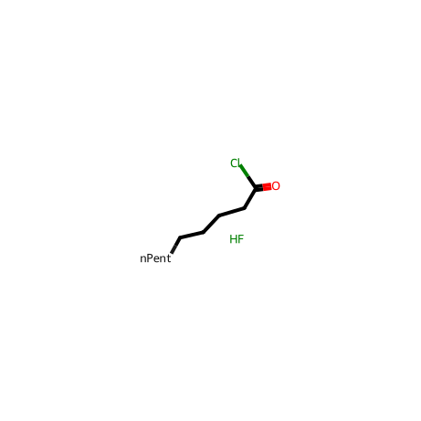 CCCCCCCCCC(=O)Cl.F